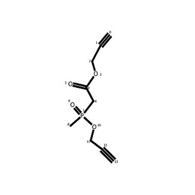 C#CCOC(=O)CP(C)(=O)OCC#C